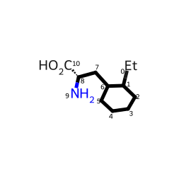 CCC1CCCCC1C[C@H](N)C(=O)O